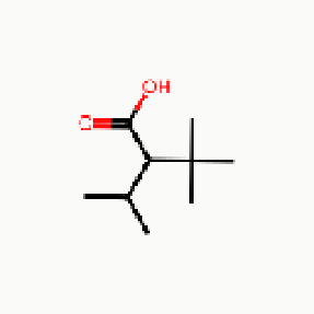 CC(C)C(C(=O)O)C(C)(C)C